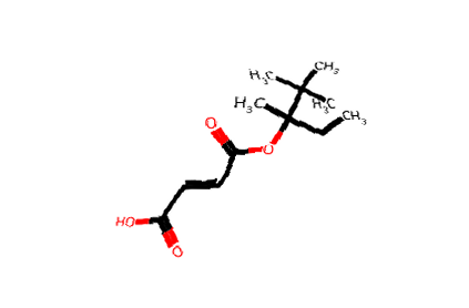 CCC(C)(OC(=O)C=CC(=O)O)C(C)(C)C